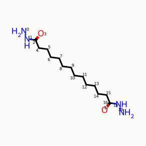 NNC(=O)CCCCCCCCCCCCC(=O)NN